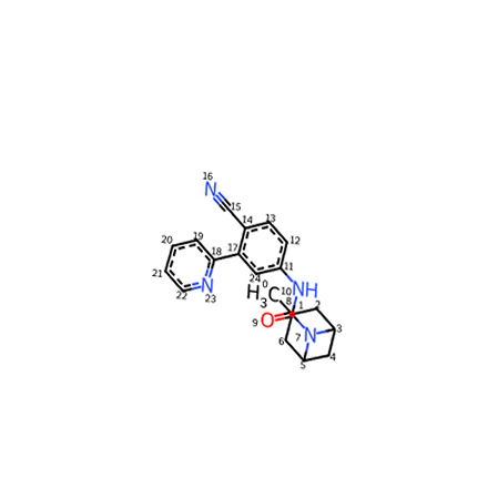 CC1CC2CC(C1)N2C(=O)Nc1ccc(C#N)c(-c2ccccn2)c1